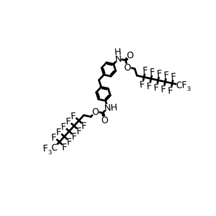 O=C(Nc1ccc(Cc2ccc(NC(=O)OCCC(F)(F)C(F)(F)C(F)(F)C(F)(F)C(F)(F)C(F)(F)F)cc2)cc1)OCCC(F)(F)C(F)(F)C(F)(F)C(F)(F)C(F)(F)C(F)(F)F